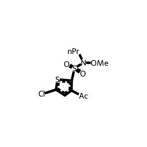 CCCN(OC)S(=O)(=O)c1sc(Cl)cc1C(C)=O